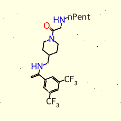 C=C(NCC1CCN(C(=O)CNCCCCC)CC1)c1cc(C(F)(F)F)cc(C(F)(F)F)c1